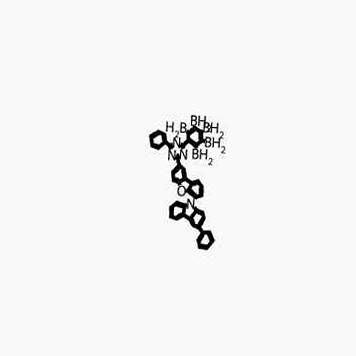 Bc1c(B)c(B)c(-c2nc(-c3ccccc3)nc(-c3ccc4oc5c(-n6c7ccccc7c7cc(-c8ccccc8)ccc76)cccc5c4c3)n2)c(B)c1B